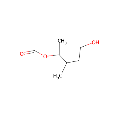 CC(CCO)C(C)OC=O